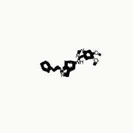 COc1cc2ncnc(Nc3ccc4c(cnn4CCc4ccccc4)c3)c2cc1OC